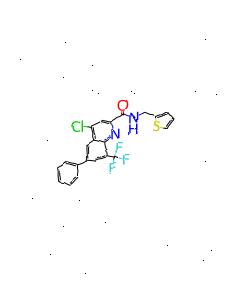 O=C(NCc1cccs1)c1cc(Cl)c2cc(-c3ccccc3)cc(C(F)(F)F)c2n1